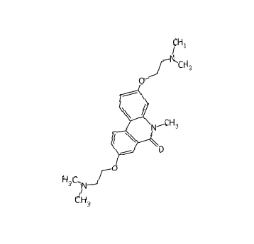 CN(C)CCOc1ccc2c(c1)c(=O)n(C)c1cc(OCCN(C)C)ccc21